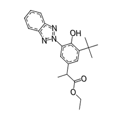 CCOC(=O)C(C)c1cc(-n2nc3ccccc3n2)c(O)c(C(C)(C)C)c1